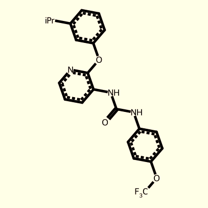 CC(C)c1cccc(Oc2ncccc2NC(=O)Nc2ccc(OC(F)(F)F)cc2)c1